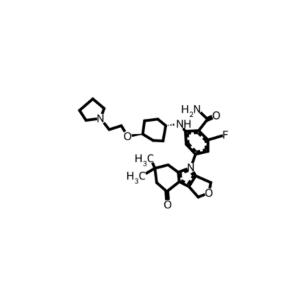 CC1(C)CC(=O)c2c3c(n(-c4cc(F)c(C(N)=O)c(N[C@H]5CC[C@H](OCCN6CCCC6)CC5)c4)c2C1)COC3